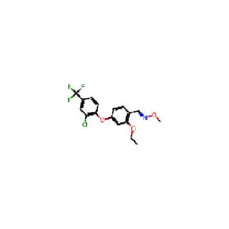 CCOc1cc(Oc2ccc(C(F)(F)F)cc2Cl)ccc1C=NOC